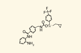 Nc1ccccc1NC(=O)c1ccc(CNC(=O)O[C@@H](CCC2CC2)c2ccc(C(F)(F)F)cc2)cc1